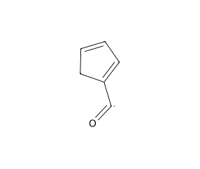 O=[C]C1=CC=CC1